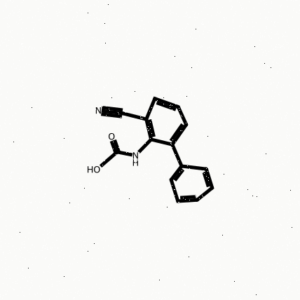 N#Cc1cccc(-c2ccccc2)c1NC(=O)O